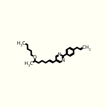 C=CCc1ccc(-c2ncc(/C=C/CCCC(C)OCCCCC)cn2)cc1